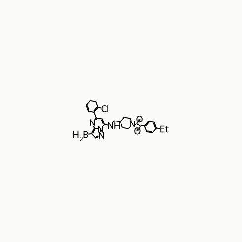 Bc1cnn2c(NCC3CCN(S(=O)(=O)c4ccc(CC)cc4)CC3)cc(C3=C(Cl)CCC=C3)nc12